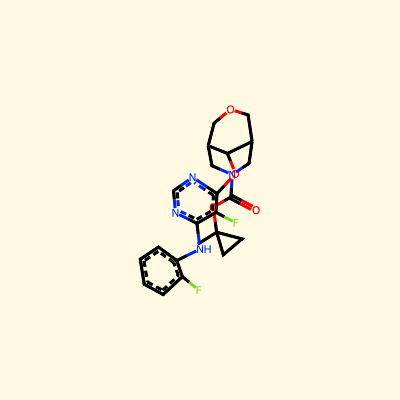 CC1(OC(=O)N2CC3COCC(C2)C3Oc2ncnc(Nc3ccccc3F)c2F)CC1